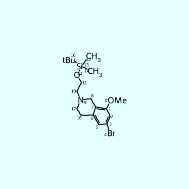 COc1cc(Br)cc2c1CN(CCO[Si](C)(C)C(C)(C)C)CC2